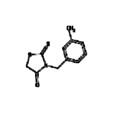 Cc1cccc(CN2C(=O)CSC2=S)c1